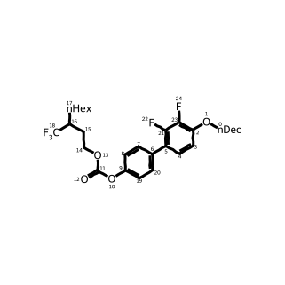 CCCCCCCCCCOc1ccc(-c2ccc(OC(=O)OCCC(CCCCCC)C(F)(F)F)cc2)c(F)c1F